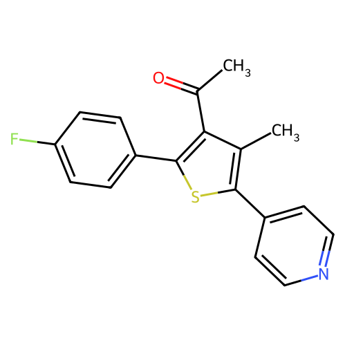 CC(=O)c1c(-c2ccc(F)cc2)sc(-c2ccncc2)c1C